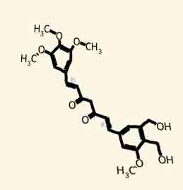 COc1cc(/C=C/C(=O)CC(=O)/C=C/c2cc(OC)c(OC)c(OC)c2)cc(CO)c1CO